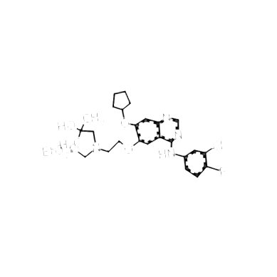 CCOC(=O)CN(CCOc1cc2c(Nc3ccc(F)c(Cl)c3)ncnc2cc1OC1CCCC1)CC(C)(C)O